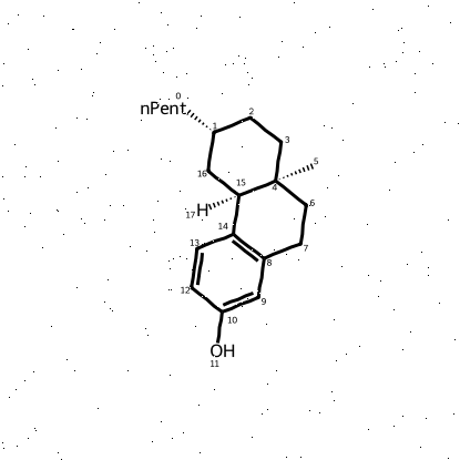 CCCCC[C@@H]1CC[C@@]2(C)CCc3cc(O)ccc3[C@H]2C1